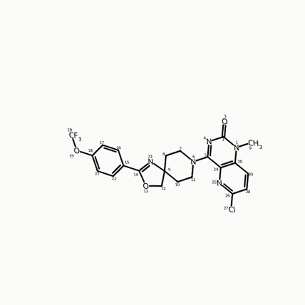 Cn1c(=O)nc(N2CCC3(CC2)COC(c2ccc(OC(F)(F)F)cc2)=N3)c2nc(Cl)ccc21